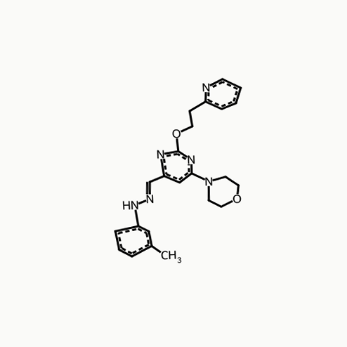 Cc1cccc(NN=Cc2cc(N3CCOCC3)nc(OCCc3ccccn3)n2)c1